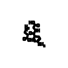 NCCC(=O)O.Nc1ccc(C(=O)NCC(=O)O)cc1